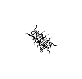 CCC[Si]12O[Si]3(CCC)O[Si]4(CCC)O[Si](CCC)(O1)O[Si]1(CCC)O[Si](CCC)(O4)O[Si]4(CCC)O[Si](CCC)(O[Si](CCC)(O[Si](CCC)(O3)O4)O2)O1